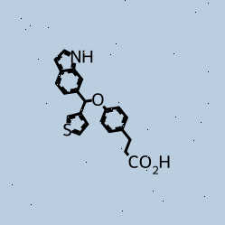 O=C(O)CCc1ccc(OC(c2ccsc2)c2ccc3cc[nH]c3c2)cc1